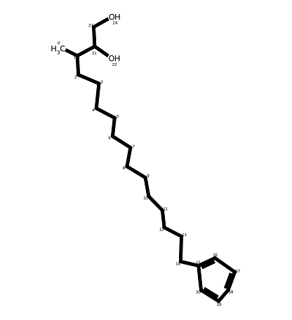 CC(CCCCCCCCCCCCCc1ccccc1)C(O)CO